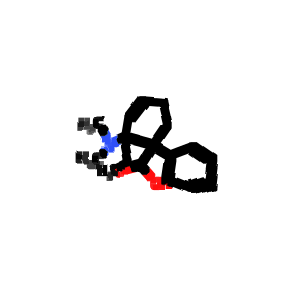 CCC1(N(C)C)C=CCCC1(C(=O)O)c1ccccc1